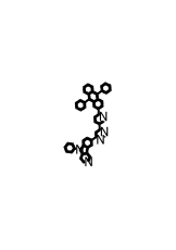 c1ccc(-c2c3ccccc3c(-c3ccccc3)c3cc(-c4ccc(-c5cc(-c6ccc7c(c6)c6cnccc6n7-c6ccccc6)ncn5)cn4)ccc23)cc1